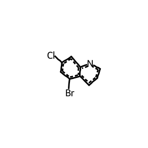 Clc1cc(Br)c2cccnc2c1